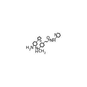 C=C(Nc1cc(-c2cccs2)ccc1N)c1ccc(/C=C/C(=O)NCCc2ccccn2)cc1